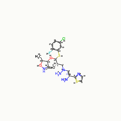 CO[C@@H](CN(N)/C=C(\N)c1nccs1)C(OC1CNOC1C)Sc1cc(Cl)ccc1F